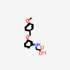 COc1ccc(COc2cccc(NCC(=O)O)c2)cc1